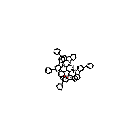 N#Cc1cccc(-c2c(-n3c4ccccc4c4cc(-c5ccccc5)ccc43)c(-n3c4ccccc4c4cc(-c5ccccc5)ccc43)nc(-n3c4ccccc4c4cc(-c5ccccc5)ccc43)c2-n2c3ccccc3c3cc(-c4ccccc4)ccc32)c1C#N